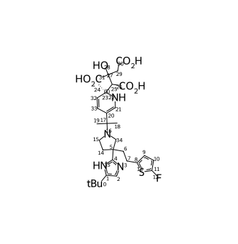 CC(C)(C)c1cnc(C2(CCc3ccc(F)s3)CCN(C(C)(C)C3=CN[C@](C)(C(C(=O)O)C(O)(CC(=O)O)C(=O)O)C=C3)C2)[nH]1